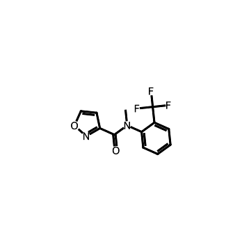 CN(C(=O)c1ccon1)c1ccccc1C(F)(F)F